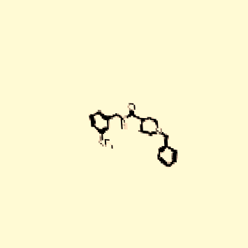 O=C(NCc1cccc(C(F)(F)F)c1)C1CCN(Cc2ccccc2)CC1